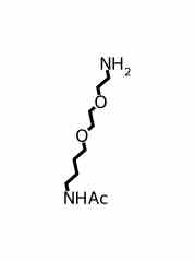 CC(=O)NCCCCOCCOCCN